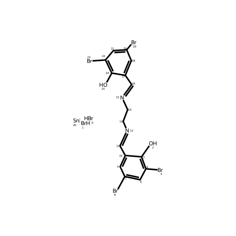 Br.Br.Oc1c(Br)cc(Br)cc1C=NCCN=Cc1cc(Br)cc(Br)c1O.[Sn]